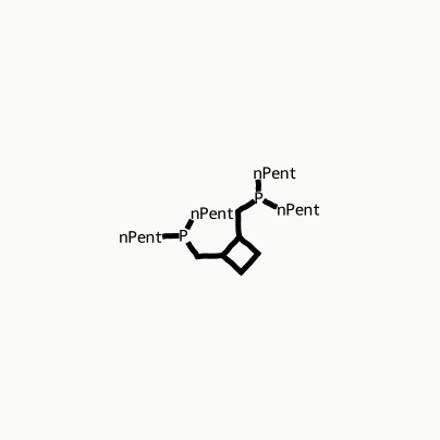 CCCCCP(CCCCC)CC1CCC1CP(CCCCC)CCCCC